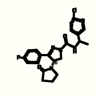 CC(NC(=O)N1C[C@H](N2CCCC2=O)C(c2ccc(F)cc2)=N1)c1cnc(Cl)nc1